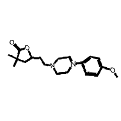 COc1ccc(N2CCN(CCC3CC(C)(C)C(=O)O3)CC2)cc1